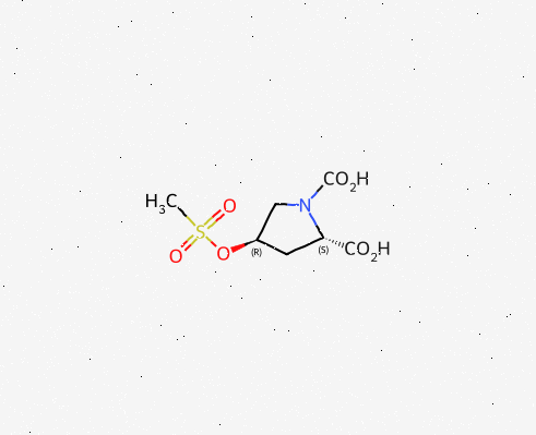 CS(=O)(=O)O[C@@H]1C[C@@H](C(=O)O)N(C(=O)O)C1